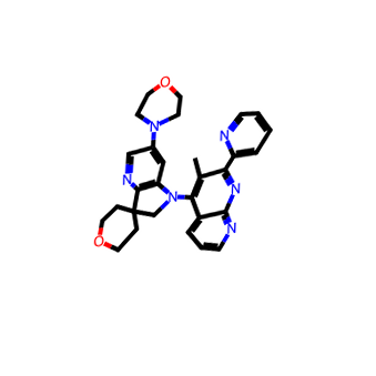 Cc1c(-c2ccccn2)nc2ncccc2c1N1CC2(CCOCC2)c2ncc(N3CCOCC3)cc21